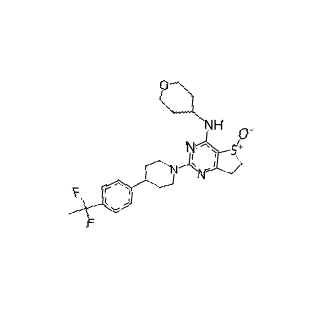 CC(F)(F)c1ccc(C2CCN(c3nc4c(c(NC5CCOCC5)n3)[S+]([O-])CC4)CC2)cc1